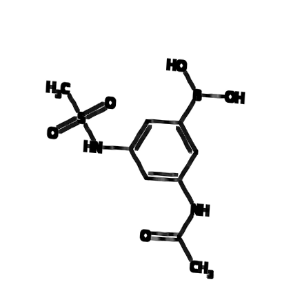 CC(=O)Nc1cc(NS(C)(=O)=O)cc(B(O)O)c1